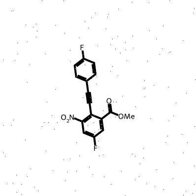 COC(=O)c1cc(F)cc([N+](=O)[O-])c1C#Cc1ccc(F)cc1